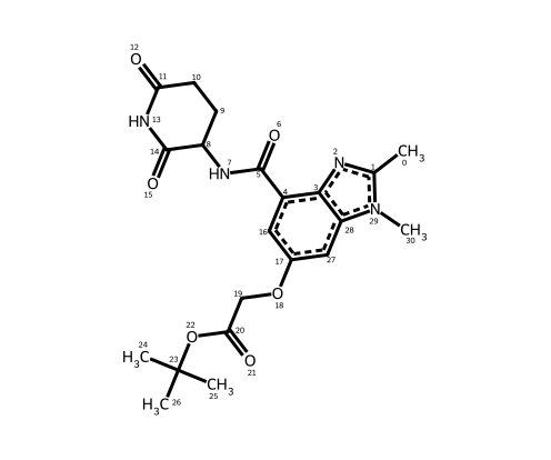 Cc1nc2c(C(=O)NC3CCC(=O)NC3=O)cc(OCC(=O)OC(C)(C)C)cc2n1C